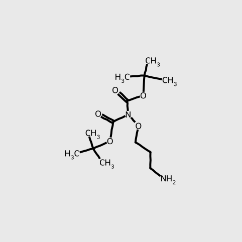 CC(C)(C)OC(=O)N(OCCCN)C(=O)OC(C)(C)C